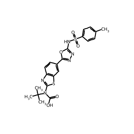 Cc1ccc(S(=O)(=O)Nc2nnc(-c3ccc4nc(N(C(=O)O)C(C)(C)C)sc4c3)o2)cc1